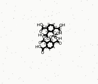 O=C(O)c1ccc(C(=O)O)c(C(=O)O)c1OP(=O)(O)c1c(C(=O)O)ccc(C(=O)O)c1C(=O)O